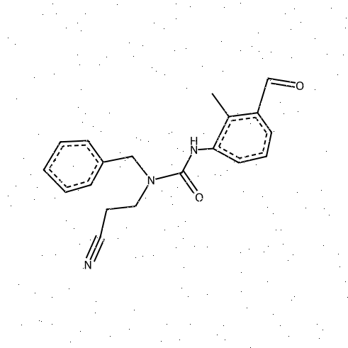 Cc1c(C=O)cccc1NC(=O)N(CCC#N)Cc1ccccc1